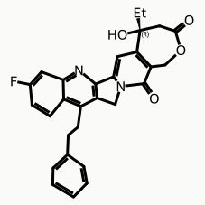 CC[C@@]1(O)CC(=O)OCc2c1cc1n(c2=O)Cc2c-1nc1cc(F)ccc1c2CCc1ccccc1